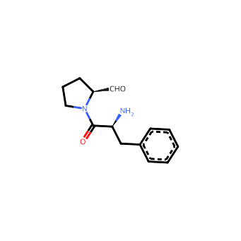 N[C@@H](Cc1ccccc1)C(=O)N1CCC[C@H]1C=O